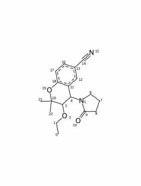 CCOC1C(N2CCCC2=O)c2cc(C#N)ccc2OC1(C)C